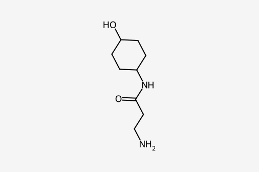 NCCC(=O)NC1CCC(O)CC1